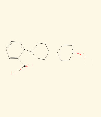 CO[C@H]1CC[C@H](C2CCC(c3ccccc3C(=O)O)CC2)CC1